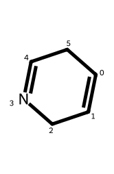 C1=CCN=CC1